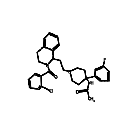 CC(=O)NC1(c2cccc(F)c2)CCN(CCC2c3ccccc3CCN2C(=O)c2ccccc2Cl)CC1